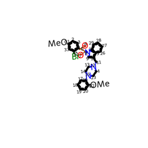 COc1ccc(S(=O)(=O)n2cc(CN3CCN(c4ccccc4OC)CC3)c3ccccc32)c(Br)c1